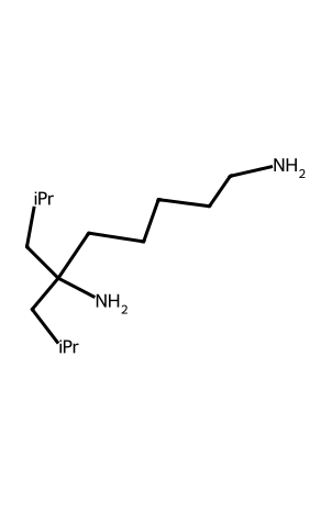 CC(C)CC(N)(CCCCCN)CC(C)C